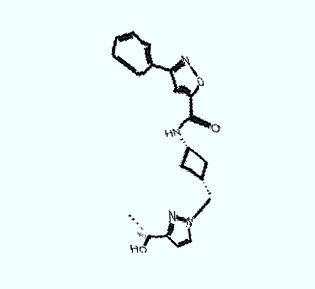 C[C@@H](O)c1ccn(C[C@H]2C[C@@H](NC(=O)c3cc(-c4ccccc4)no3)C2)n1